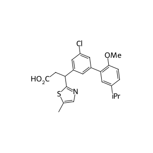 COc1ccc(C(C)C)cc1-c1cc(Cl)cc(C(CC(=O)O)c2ncc(C)s2)c1